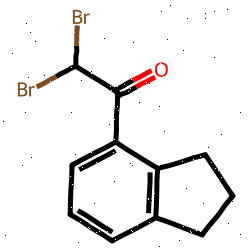 O=C(c1cccc2c1CCC2)C(Br)Br